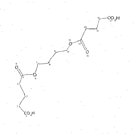 O=C(O)CCCC(=O)OCCCCOC(=O)CCCC(=O)O